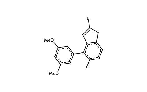 COc1cc(OC)cc(-c2c(C)ccc3c2C=C(Br)C3)c1